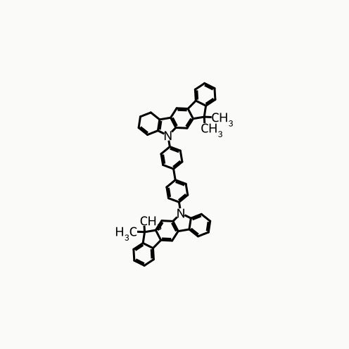 CC1(C)c2ccccc2-c2cc3c4c(n(-c5ccc(-c6ccc(-n7c8ccccc8c8cc9c(cc87)C(C)(C)c7ccccc7-9)cc6)cc5)c3cc21)C=CCC4